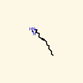 CCCCCCCC#CCCc1c[nH]cn1